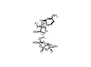 Nc1ccn([C@@H]2O[C@H](COP(=O)(O)OP(=O)(O)OP(=O)(O)O)C(O)[C@]2(O)CF)c(=S)n1